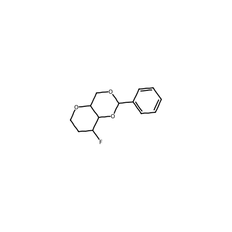 FC1CCOC2COC(c3ccccc3)OC12